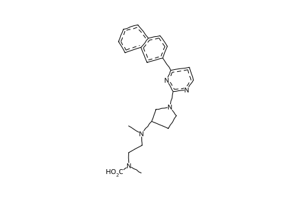 CN(CCN(C)C1CCN(c2nccc(-c3ccc4ccccc4c3)n2)C1)C(=O)O